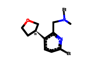 CCc1ccc([C@@H]2CCOC2)c(CN(C)CC)n1